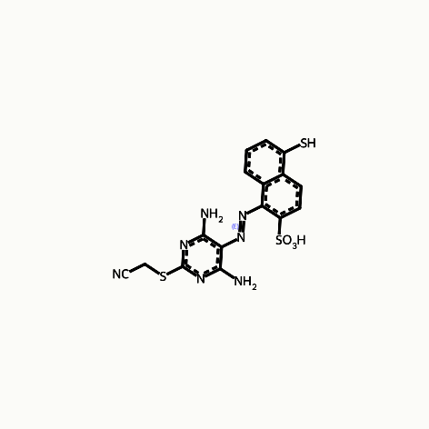 N#CCSc1nc(N)c(/N=N/c2c(S(=O)(=O)O)ccc3c(S)cccc23)c(N)n1